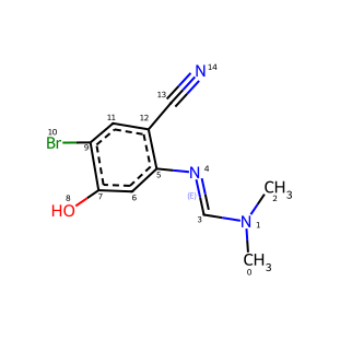 CN(C)/C=N/c1cc(O)c(Br)cc1C#N